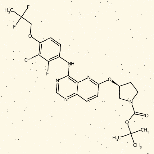 CC(F)(F)COc1ccc(Nc2ncnc3ccc(O[C@H]4CCN(C(=O)OC(C)(C)C)C4)nc23)c(F)c1Cl